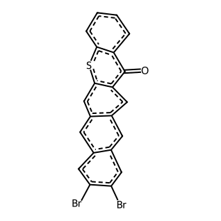 O=c1c2ccccc2sc2cc3cc4cc(Br)c(Br)cc4cc3cc12